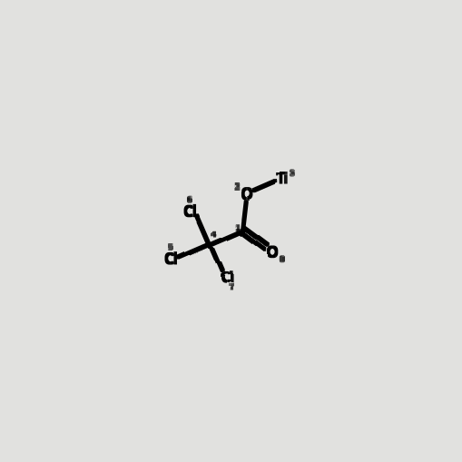 O=C([O][Ti])C(Cl)(Cl)Cl